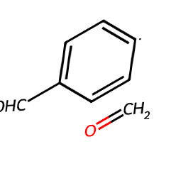 C=O.O=Cc1cc[c]cc1